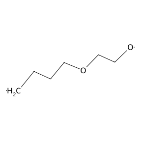 [CH2]CCCOCC[O]